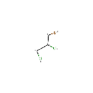 [S]CC(Cl)CCl